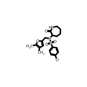 Cc1cc(CN(C2CCCCNC2=O)S(=O)(=O)c2ccc(Cl)cc2)oc1C